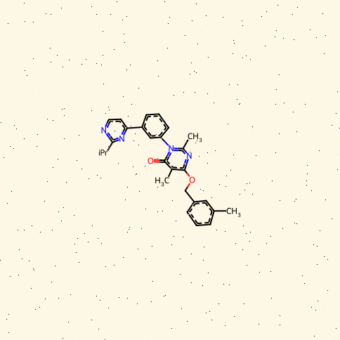 Cc1cccc(COc2nc(C)n(-c3cccc(-c4ccnc(C(C)C)n4)c3)c(=O)c2C)c1